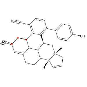 C[C@@]12CC=C[C@@H]1C1CCC3=CC(=O)CCC3C1[C@@H](c1c(-c3ccc(O)cc3)ccc(C#N)c1CCCO)C2